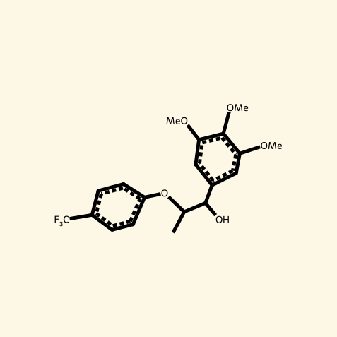 COc1cc(C(O)C(C)Oc2ccc(C(F)(F)F)cc2)cc(OC)c1OC